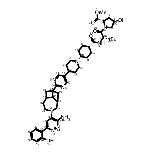 COC(=O)[C@@H]1C[C@@H](O)CN1C(=O)[C@@H](NC(=O)[C@H]1CC[C@@H](N2CCC(c3cnc(C45CC6CCN(c7cc(-c8ccccc8O)nnc7N)CC(C4)C65)nc3)CC2)CC1)C(C)(C)C